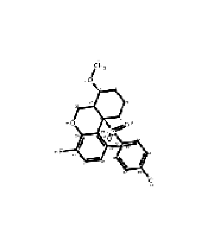 CO[C@H]1CCC[C@]2(S(=O)(=O)c3ccc(Cl)cc3)c3c(F)ccc(F)c3OCC12